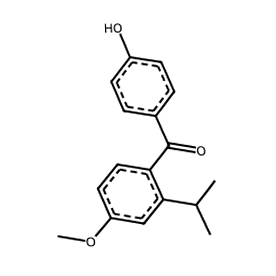 COc1ccc(C(=O)c2ccc(O)cc2)c(C(C)C)c1